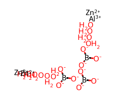 O.O.O.O.O.O.O.O.O.[Al+3].[O-]B([O-])[O-].[O-]B([O-])[O-].[O-]B([O-])[O-].[Zn+2].[Zn+2].[Zn+2]